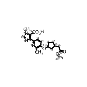 Cc1nc(-c2nnn(C)c2C(=O)O)ccc1OC1CCC(CC(=O)OC(C)C)C1